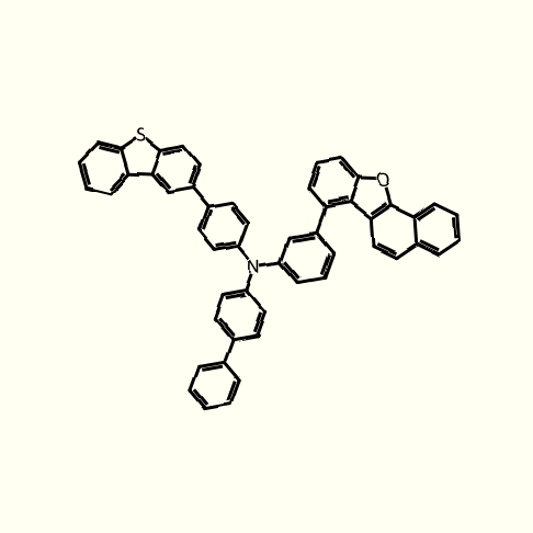 c1ccc(-c2ccc(N(c3ccc(-c4ccc5sc6ccccc6c5c4)cc3)c3cccc(-c4cccc5oc6c7ccccc7ccc6c45)c3)cc2)cc1